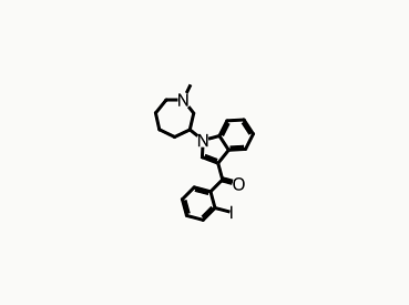 CN1CCCCC(n2cc(C(=O)c3ccccc3I)c3ccccc32)C1